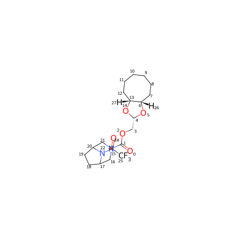 O=C(OC[C@H]1O[C@H]2CCCCCC[C@H]2O1)N1CC2CCC(C1)N2C(=O)C(F)(F)F